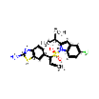 C=CC(c1ccc2nc(N)sc2c1)S(=O)(=O)n1c(C(C)C(=O)O)cc2cc(Cl)ccc21